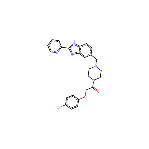 O=C(COc1ccc(Cl)cc1)N1CCN(Cc2ccc3[nH]c(-c4ccccn4)nc3c2)CC1